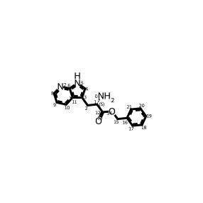 N[C@@H](Cc1c[nH]c2ncccc12)C(=O)OCc1ccccc1